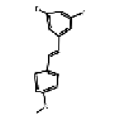 CSc1ccc(C=Cc2cc(F)cc(F)c2)cc1